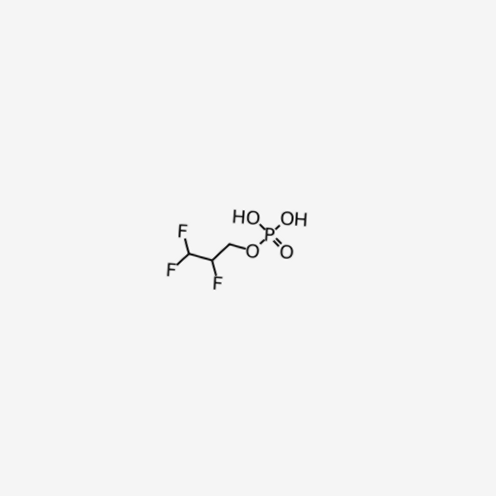 O=P(O)(O)OCC(F)C(F)F